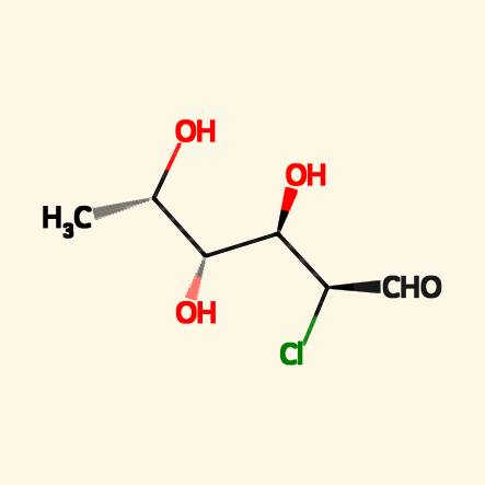 C[C@H](O)[C@@H](O)[C@@H](O)[C@H](Cl)C=O